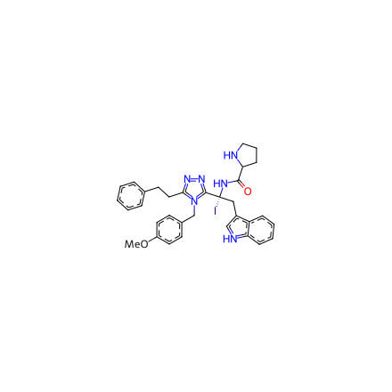 COc1ccc(Cn2c(CCc3ccccc3)nnc2[C@](I)(Cc2c[nH]c3ccccc23)NC(=O)C2CCCN2)cc1